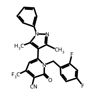 Cc1nn(-c2ccccc2)c(C)c1-c1cc(C(F)(F)F)c(C#N)c(=O)n1Cc1ccc(F)cc1F